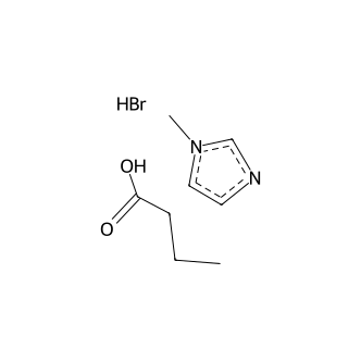 Br.CCCC(=O)O.Cn1ccnc1